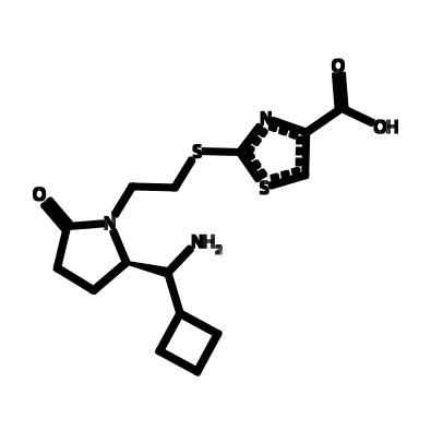 NC(C1CCC1)[C@H]1CCC(=O)N1CCSc1nc(C(=O)O)cs1